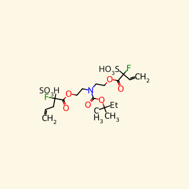 C=CCC(F)(C(=O)OCCN(CCOC(=O)C(F)(C=C)S(=O)(=O)O)C(=O)OC(C)(C)CC)S(=O)(=O)O